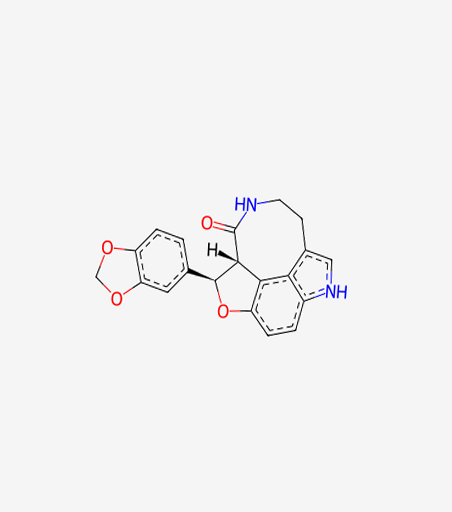 O=C1NCCc2c[nH]c3ccc4c(c23)[C@@H]1[C@H](c1ccc2c(c1)OCO2)O4